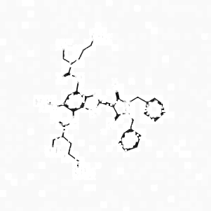 CCCCC(CC)C(=O)Oc1cc(OC)c(OC(=O)C(CC)CCCC)c2c1SC(=C1C(=O)N(Cc3ccccc3)N(Cc3ccccc3)C1=O)S2